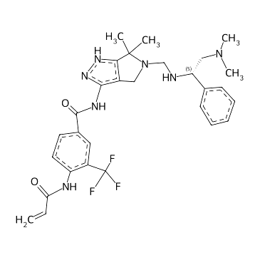 C=CC(=O)Nc1ccc(C(=O)Nc2n[nH]c3c2CN(CN[C@H](CN(C)C)c2ccccc2)C3(C)C)cc1C(F)(F)F